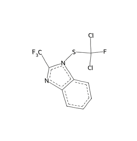 FC(Cl)(Cl)Sn1c(C(F)(F)F)nc2ccccc21